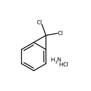 Cl.ClC1(Cl)c2ccccc21.N